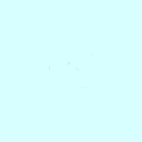 CCn1nc(Cl)cc1Br